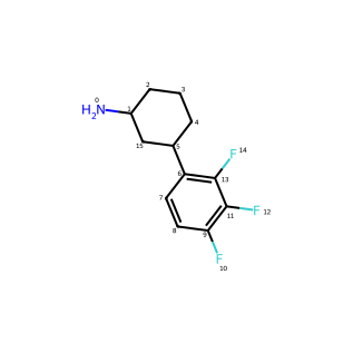 NC1CCCC(c2ccc(F)c(F)c2F)C1